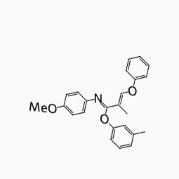 COc1ccc(N=C(Oc2cccc(C)c2)C(C)=COc2ccccc2)cc1